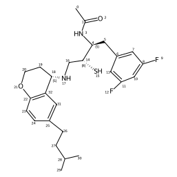 CC(=O)N[C@@H](Cc1cc(F)cc(F)c1)[C@H](S)CN[C@H]1CCOc2ccc(CCC(C)C)cc21